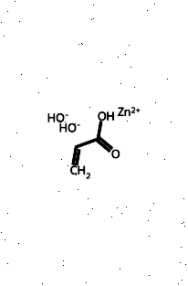 C=CC(=O)O.[OH-].[OH-].[Zn+2]